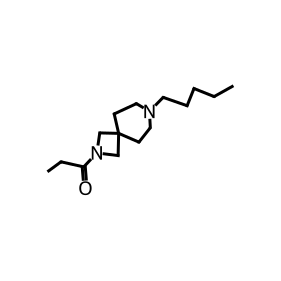 CCCCCN1CCC2(CC1)CN(C(=O)CC)C2